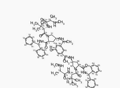 C=C(N[C@H]1C[C@@H](C(=O)NC(c2ccccc2)c2ccccc2)N(C(=O)[C@@H](NC(=O)[C@H](C)NC)C(C)(C)C)C1)c1cc(O)cc(C(=C)N[C@H]2C[C@@H](C(=O)NC(c3ccccc3)c3ccccc3)N(C(=O)[C@@H](NC(=O)[C@H](C)NC)C(C)(C)C)C2)c1